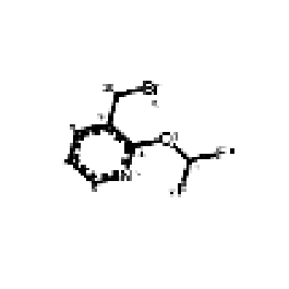 FC(F)Oc1ncccc1CBr